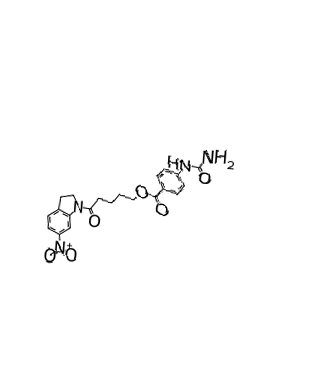 NC(=O)Nc1ccc(C(=O)OCCCCC(=O)N2CCc3ccc([N+](=O)[O-])cc32)cc1